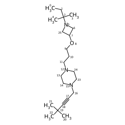 CCC(C)(C)N1CC(OCCCN2CCN(CC#CC(C)(C)C)CC2)C1